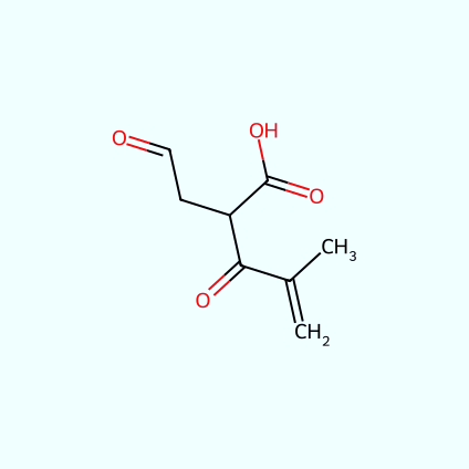 C=C(C)C(=O)C(CC=O)C(=O)O